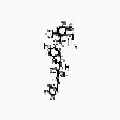 CC(Oc1cc2sc(NC(=O)NCCN3CCCC3)nc2cc1F)c1c(Cl)ccc(F)c1Cl